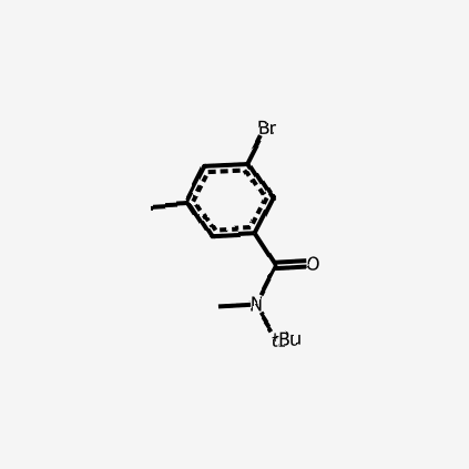 Cc1cc(Br)cc(C(=O)N(C)C(C)(C)C)c1